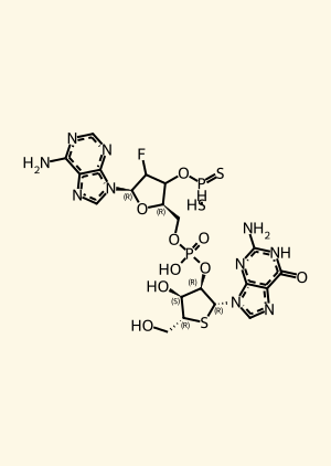 Nc1nc2c(ncn2[C@@H]2S[C@H](CO)[C@@H](O)[C@H]2OP(=O)(O)OC[C@H]2O[C@@H](n3cnc4c(N)ncnc43)C(F)C2O[PH](=S)S)c(=O)[nH]1